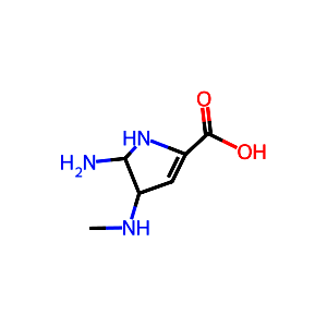 CNC1C=C(C(=O)O)NC1N